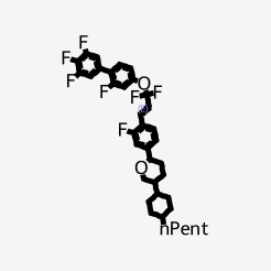 CCCCCC1CCC(C2CCC(c3ccc(/C=C/C(F)(F)Oc4ccc(-c5cc(F)c(F)c(F)c5)c(F)c4)c(F)c3)OC2)CC1